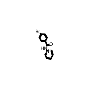 O=C(N[n+]1ccccc1)c1ccc(Br)cc1